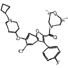 C[C@@H]1CN(C(=O)c2oc3cc(OC4CCN(C5CCC5)CC4)c(Cl)cc3c2-c2ccc(F)cc2)C[C@H](C)O1